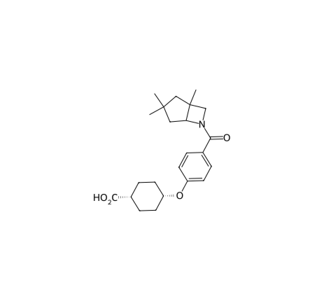 CC1(C)CC2N(C(=O)c3ccc(O[C@H]4CC[C@@H](C(=O)O)CC4)cc3)CC2(C)C1